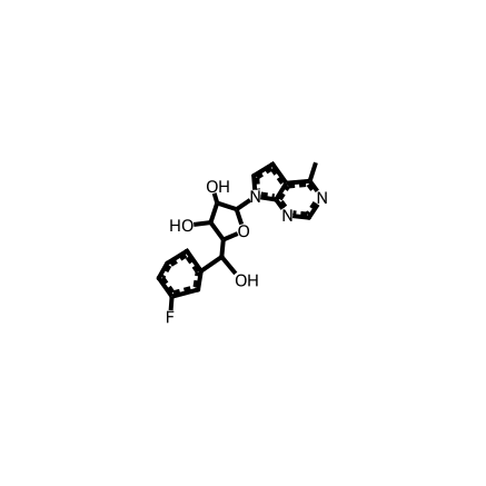 Cc1ncnc2c1ccn2C1OC(C(O)c2cccc(F)c2)C(O)C1O